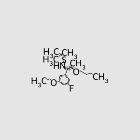 CCCCO[C@@H](C)[C@@H](NSC(C)(C)C)c1cc(F)cc(OCC)c1